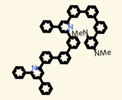 CNc1ccc(NC)c(-c2cccc(-c3cccc(-c4cccc(-c5cc(-c6ccccc6)cc(-c6cccc(-c7cccc(-c8cccc(-c9cc(-c%10ccccc%10)cc(-c%10ccccc%10)n9)c8)c7)c6)n5)c4)c3)c2)c1